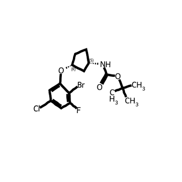 CC(C)(C)OC(=O)N[C@H]1CC[C@@H](Oc2cc(Cl)cc(F)c2Br)C1